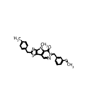 COc1cccc(Cn2ncc3c4sc(Cc5ccc(C)cc5)nc4n(C)c3c2=O)c1